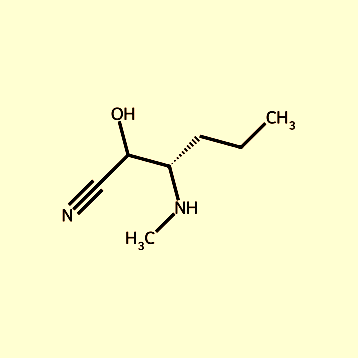 CCC[C@H](NC)C(O)C#N